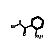 CCNC(=O)c1ccccc1S(=O)(=O)O